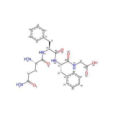 NC(=O)CC[C@H](N)C(=O)N[C@@H](Cc1ccccc1)C(=O)N[C@@H](Cc1ccccc1)C(=O)NCC(=O)O